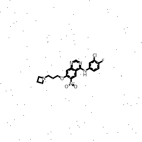 O=[N+]([O-])c1cc2c(Nc3ccc(F)c(Cl)c3)ncnc2cc1OCCCN1CCC1